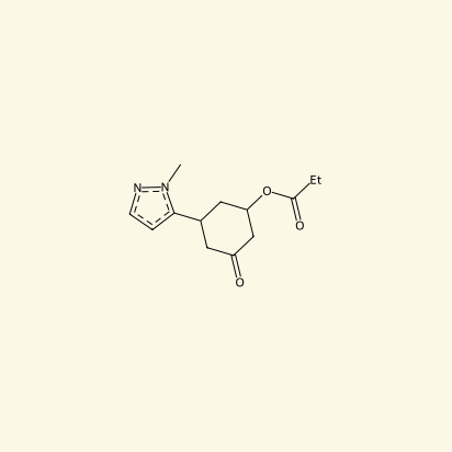 CCC(=O)OC1CC(=O)CC(c2ccnn2C)C1